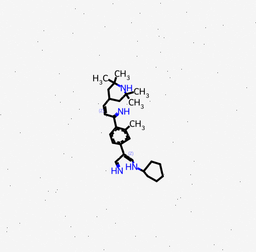 Cc1cc(/C(C=N)=C/NC2CCCCC2)ccc1C(=N)/C=C\C1CC(C)(C)NC(C)(C)C1